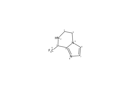 FC(F)(F)C1NCCn2ccnc21